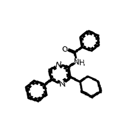 O=C(Nc1ncc(-c2ccccc2)nc1C1CCCCC1)c1ccccc1